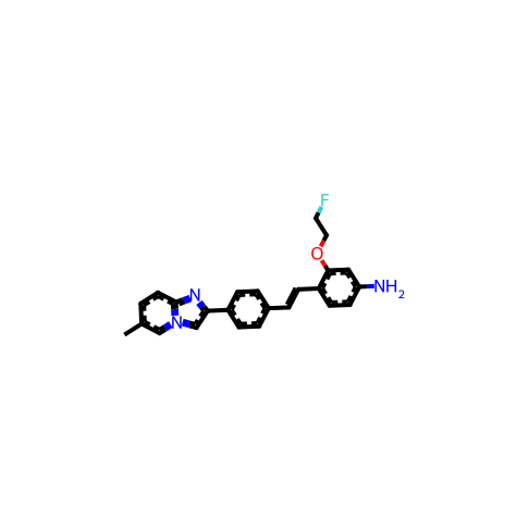 Cc1ccc2nc(-c3ccc(/C=C/c4ccc(N)cc4OCCF)cc3)cn2c1